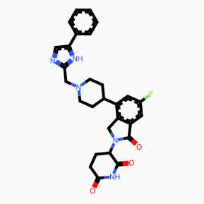 O=C1CCC(N2Cc3c(cc(F)cc3C3CCN(Cc4ncc(-c5ccccc5)[nH]4)CC3)C2=O)C(=O)N1